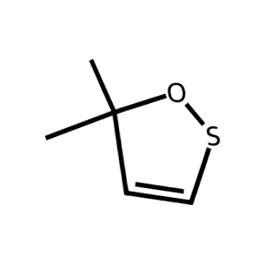 CC1(C)C=CSO1